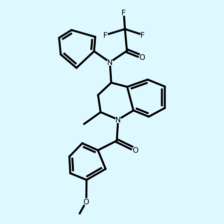 COc1cccc(C(=O)N2c3ccccc3C(N(C(=O)C(F)(F)F)c3ccccc3)CC2C)c1